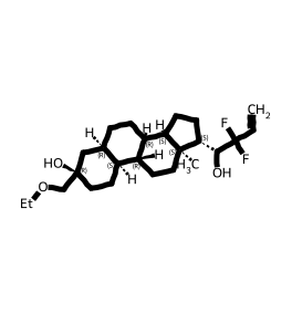 C=CC(F)(F)C(O)[C@H]1CC[C@H]2[C@@H]3CC[C@@H]4C[C@@](O)(COCC)CC[C@@H]4[C@H]3CC[C@]12C